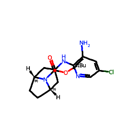 CC(C)(C)OC(=O)N1[C@@H]2CC[C@H]1CC(Nc1ncc(Cl)cc1N)C2